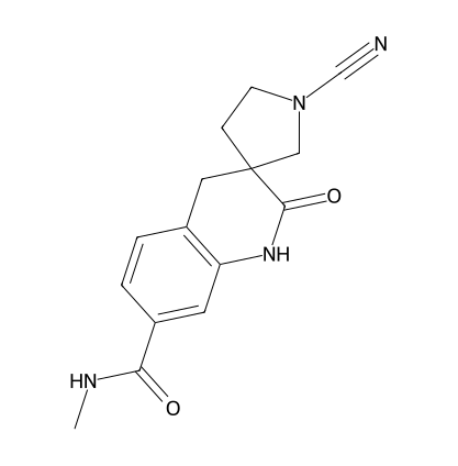 CNC(=O)c1ccc2c(c1)NC(=O)C1(CCN(C#N)C1)C2